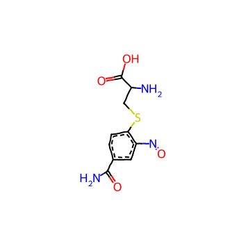 NC(=O)c1ccc(SCC(N)C(=O)O)c(N=O)c1